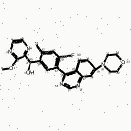 COc1nccnc1[C@H](O)c1cc(-c2ncnc3cc(N4CCOCC4)ccc23)c(F)cc1C